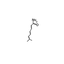 CC(C)=CC=CC=CC(N)=O